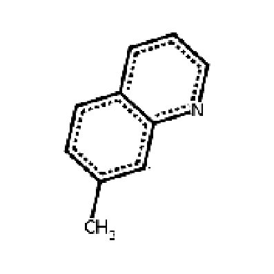 Cc1[c]c2ncccc2cc1